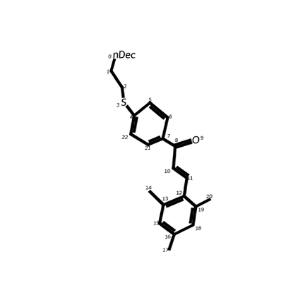 CCCCCCCCCCCCSc1ccc(C(=O)/C=C/c2c(C)cc(C)cc2C)cc1